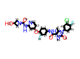 Cc1c(C(=O)Nc2ccc(Oc3ccnc(NC(=O)N4CC(O)C4)c3)c(F)c2)n(C)c(=O)n1-c1ccc(F)c(Cl)c1